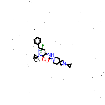 N#CC1(NC(=O)[C@H](CC(F)(F)Cc2ccccc2)NC(=O)N2CCC3(CC2)CN(C2CC2)C3)CC1